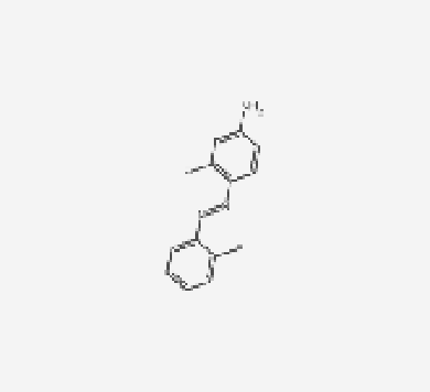 Nc1ccc(/N=N/c2ccccc2F)c(F)c1